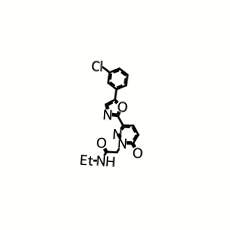 CCNC(=O)Cn1nc(-c2ncc(-c3cccc(Cl)c3)o2)ccc1=O